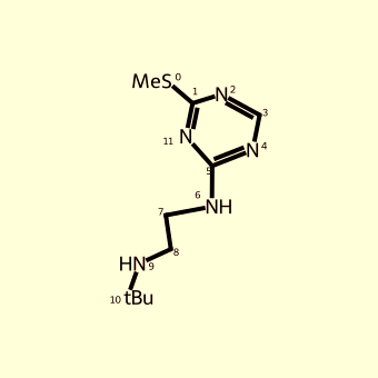 CSc1ncnc(NCCNC(C)(C)C)n1